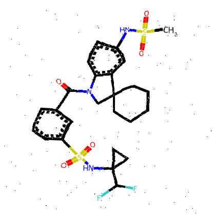 CS(=O)(=O)Nc1ccc2c(c1)C1(CCCCC1)CN2C(=O)c1cccc(S(=O)(=O)NC2(C(F)F)CC2)c1